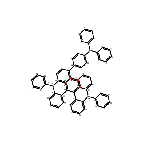 c1ccc(N(c2ccccc2)c2ccc(-c3ccc(N(c4ccccc4)c4ccccc4-c4ccccc4-c4ccccc4N(c4ccccc4)c4ccccc4)cc3)cc2)cc1